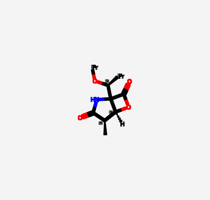 CC(C)O[C@@H](C(C)C)C12NC(=O)[C@H](C)[C@@H]1OC2=O